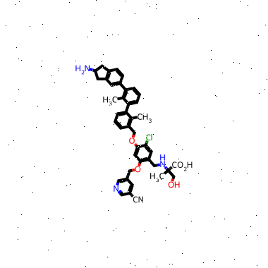 Cc1c(COc2cc(OCc3cncc(C#N)c3)c(CNC(C)(CO)C(=O)O)cc2Cl)cccc1-c1cccc(-c2ccc3c(c2)CC(N)C3)c1C